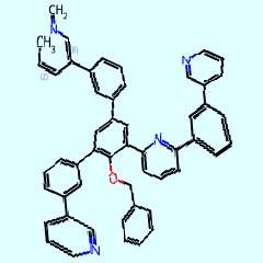 C=N/C=C(\C=C/C)c1cccc(-c2cc(-c3cccc(-c4cccnc4)c3)c(OCc3ccccc3)c(-c3cccc(-c4cccc(-c5cccnc5)c4)n3)c2)c1